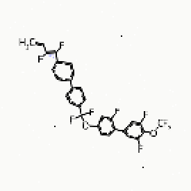 C=C/C(F)=C(\F)c1ccc(-c2ccc(C(F)(F)Oc3ccc(-c4cc(F)c(OC(F)(F)F)c(F)c4)c(F)c3)cc2)cc1